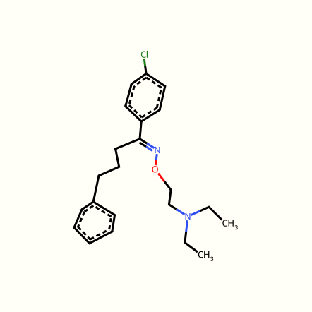 CCN(CC)CCON=C(CCCc1ccccc1)c1ccc(Cl)cc1